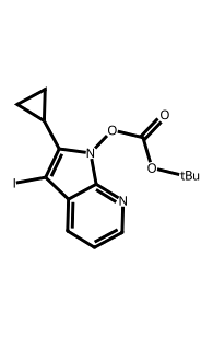 CC(C)(C)OC(=O)On1c(C2CC2)c(I)c2cccnc21